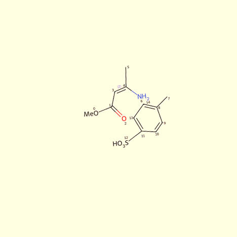 COC(=O)/C=C(/C)N.Cc1ccc(S(=O)(=O)O)cc1